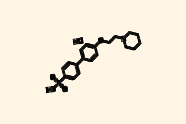 Cl.O=S(=O)(O)c1ccc(-c2ccc(OCCN3CCCCC3)cc2)cc1